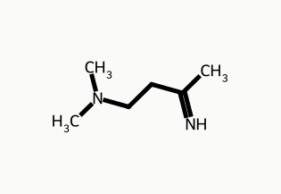 CC(=N)CCN(C)C